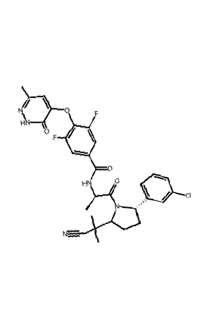 Cc1cc(Oc2c(F)cc(C(=O)N[C@H](C)C(=O)N3C(C(C)(C)C#N)CC[C@H]3c3cccc(Cl)c3)cc2F)c(=O)[nH]n1